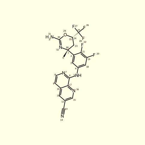 C[C@]1(c2cc(Nc3nccc4cc(C#N)cnc34)cc(F)c2F)C[C@@H](C(F)(F)F)OC(N)=N1